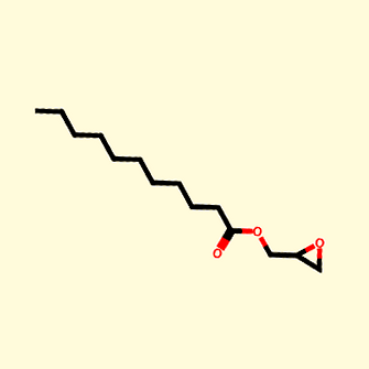 CCCCCCCCCCC(=O)OCC1CO1